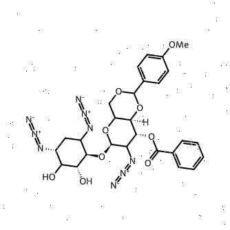 COc1ccc(C2OCC3O[C@H](O[C@@H]4C(N=[N+]=[N-])C[C@@H](N=[N+]=[N-])C(O)[C@H]4O)C(N=[N+]=[N-])[C@@H](OC(=O)c4ccccc4)[C@@H]3O2)cc1